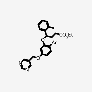 CCOC(=O)CCC(Oc1cc(OCc2cncnc2)ccc1C(C)=O)c1ccccc1C